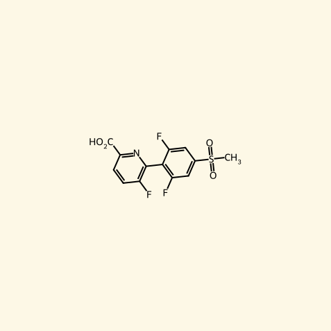 CS(=O)(=O)c1cc(F)c(-c2nc(C(=O)O)ccc2F)c(F)c1